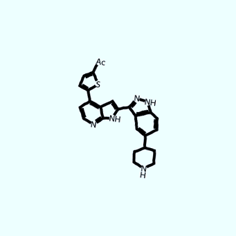 CC(=O)c1ccc(-c2ccnc3[nH]c(-c4n[nH]c5ccc(C6CCNCC6)cc45)cc23)s1